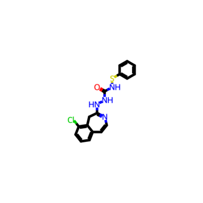 O=C(NNC1=NC=Cc2cccc(Cl)c2C1)NSc1ccccc1